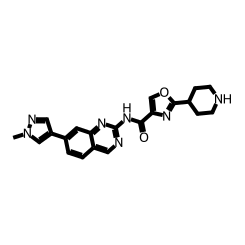 Cn1cc(-c2ccc3cnc(NC(=O)c4coc(C5CCNCC5)n4)nc3c2)cn1